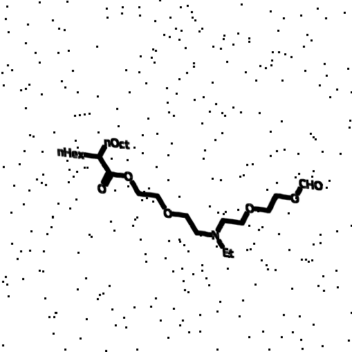 CCCCCCCCC(CCCCCC)C(=O)OCCOCCN(CC)CCOCCOC=O